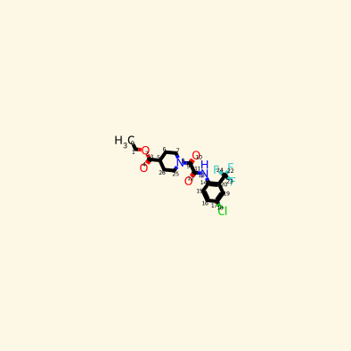 CCOC(=O)C1CCN(C(=O)C(=O)Nc2ccc(Cl)cc2C(F)(F)F)CC1